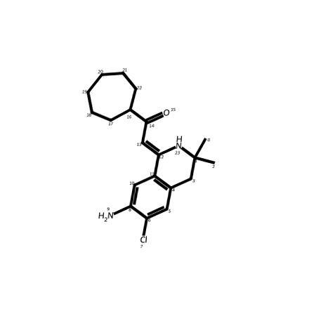 CC1(C)Cc2cc(Cl)c(N)cc2C(=CC(=O)C2CCCCCC2)N1